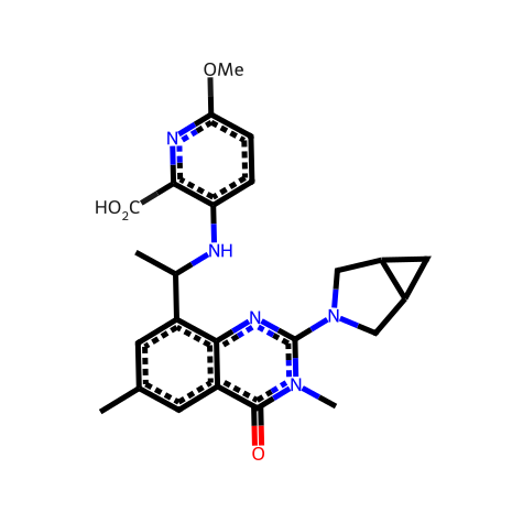 COc1ccc(NC(C)c2cc(C)cc3c(=O)n(C)c(N4CC5CC5C4)nc23)c(C(=O)O)n1